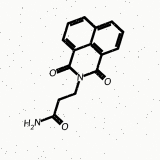 NC(=O)CCN1C(=O)c2cccc3cccc(c23)C1=O